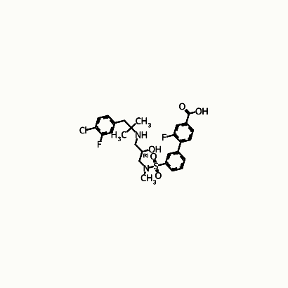 CN(C[C@H](O)CNC(C)(C)Cc1ccc(Cl)c(F)c1)S(=O)(=O)c1cccc(-c2ccc(C(=O)O)cc2F)c1